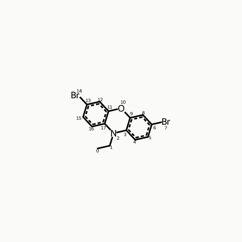 CCN1c2ccc(Br)cc2Oc2cc(Br)ccc21